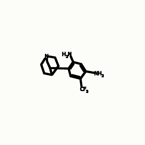 Nc1cc(N)c(C(F)(F)F)cc1C1CN2CCC1CC2